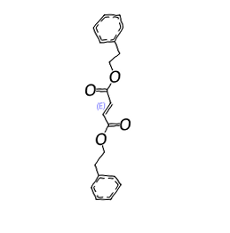 O=C(/C=C/C(=O)OCCc1ccccc1)OCCc1ccccc1